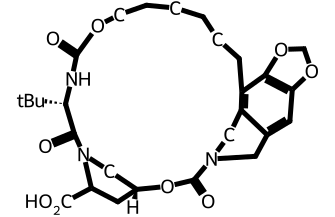 CC(C)(C)[C@@H]1NC(=O)OCCCCCCc2c3c(cc4c2OCO4)CN(C3)C(=O)O[C@@H]2CC(C(=O)O)N(C2)C1=O